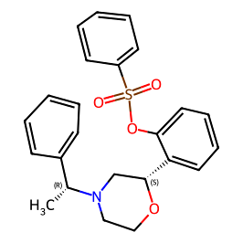 C[C@H](c1ccccc1)N1CCO[C@@H](c2ccccc2OS(=O)(=O)c2ccccc2)C1